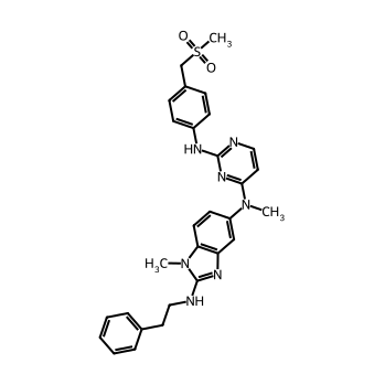 CN(c1ccc2c(c1)nc(NCCc1ccccc1)n2C)c1ccnc(Nc2ccc(CS(C)(=O)=O)cc2)n1